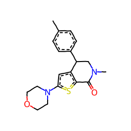 Cc1ccc(C2CN(C)C(=O)c3sc(N4CCOCC4)cc32)cc1